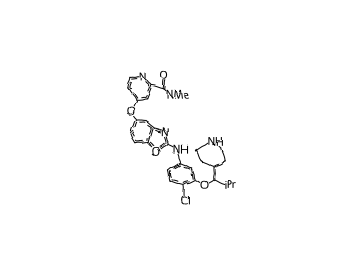 CNC(=O)c1cc(Oc2ccc3oc(Nc4ccc(Cl)c(OC(C(C)C)C5CCNCC5)c4)nc3c2)ccn1